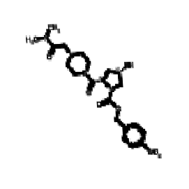 CN(C)C(=O)CN1CCN(C(=O)[C@@H]2C[C@H](S)CN2C(=O)OCc2ccc([N+](=O)[O-])cc2)CC1